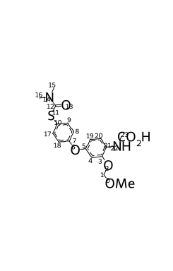 COCOc1cc(Oc2ccc(SC(=O)N(C)C)cc2)ccc1NC(=O)O